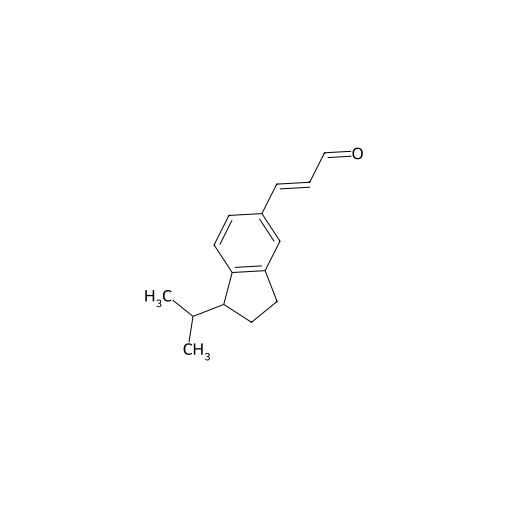 CC(C)C1CCc2cc(C=CC=O)ccc21